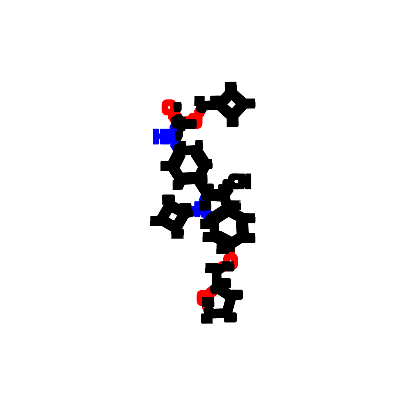 N#Cc1c(-c2ccc(NC(=O)OCC3CCC3)cc2)n(C2CCC2)c2cc(OCC3CCCO3)ccc12